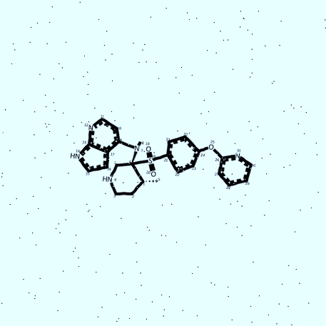 C[C@@H]1CCNC[C@]1(N(C)c1ccnc2[nH]ccc12)S(=O)(=O)c1ccc(Oc2ccccn2)cc1